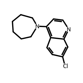 Clc1ccc2c(N3CCCCCC3)ccnc2c1